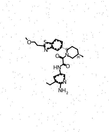 CCc1cc(NC(=O)C(=O)N2C[C@H](C)CC[C@H]2c2ccc3sc(CCOC)nc3c2)cnc1N